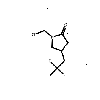 CC(F)(F)CC1CC(=O)N(CCl)C1